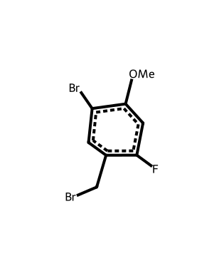 COc1cc(F)c(CBr)cc1Br